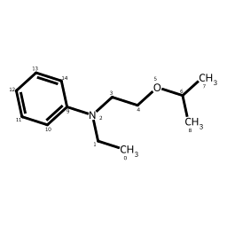 CCN(CCOC(C)C)c1ccccc1